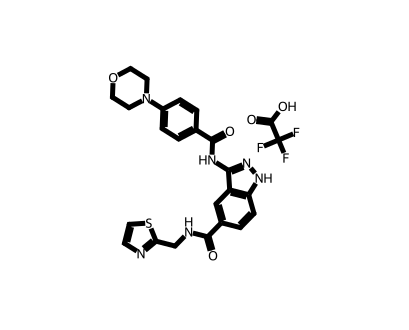 O=C(NCc1nccs1)c1ccc2[nH]nc(NC(=O)c3ccc(N4CCOCC4)cc3)c2c1.O=C(O)C(F)(F)F